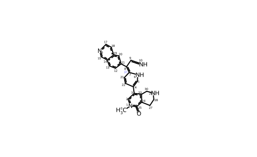 Cn1cc(C2=CN/C(=C(\C=N)c3ccc4cnccc4c3)C=C2)c2c(c1=O)CCNC2